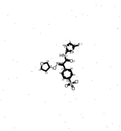 O=C(Nc1ncc(F)s1)/C(=N/O[C@@H]1CCOC1)c1ccc(S(=O)(=O)Cl)cc1